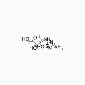 OC[C@H]1OC[C@H](Nc2nc(C(F)(F)F)ns2)[C@@H](O)[C@H]1O